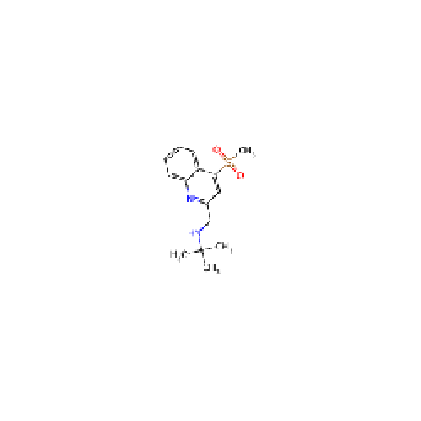 CC(C)(C)NCc1cc(S(C)(=O)=O)c2ccccc2n1